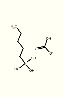 CCCCC[N+](O)(O)O.O=C([O-])O